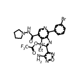 CC[N+]1(OC(=O)C(F)(F)F)C(c2nonc2N)=Nc2c(-c3cccc(Br)c3)ncc(C(=O)NN3CCCC3)c21